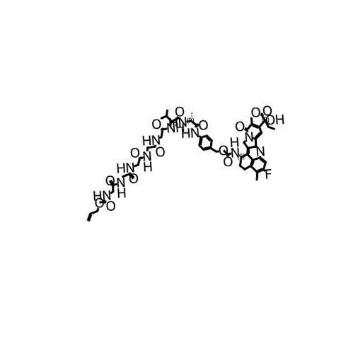 C=CCOC(=O)NCC(=O)NCC(=O)NCC(=O)NCC(=O)NCC(=O)N[C@@H](C(=O)N[C@H](C)C(=O)Nc1ccc(COC(=O)N[C@H]2CCc3c(C)c(F)cc4nc5c(c2c34)Cn2c-5cc3c(c2=O)COC(=O)[C@]3(O)CC)cc1)C(C)C